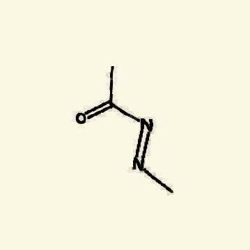 C/N=N/C(C)=O